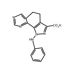 O=C(O)c1nn(Nc2ccccc2)c2c1CCc1cncnc1-2